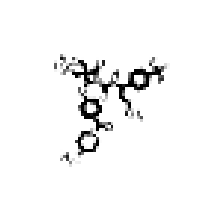 CCCC(NC(=O)N1C(=O)C(CC)(CC)C1Oc1ccc(C(=O)N2CCC(C)CC2)cc1)c1ccc(C(F)(F)F)cc1